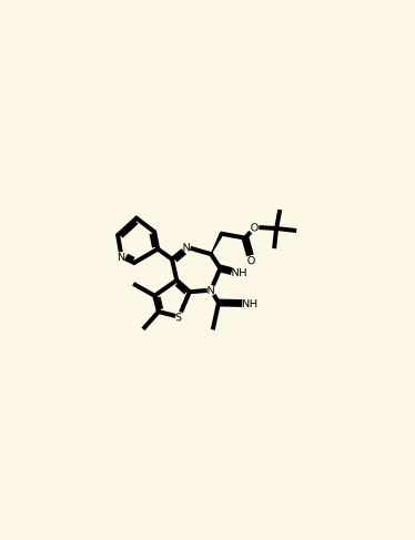 CC(=N)N1C(=N)[C@H](CC(=O)OC(C)(C)C)N=C(c2cccnc2)c2c1sc(C)c2C